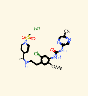 COc1cc(CCN[C@H](C)C2CCN(S(C)(=O)=O)CC2)c(Cl)cc1NC(=O)Nc1cnc(C#N)cn1.Cl